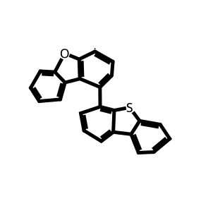 [c]1ccc(-c2cccc3c2sc2ccccc23)c2c1oc1ccccc12